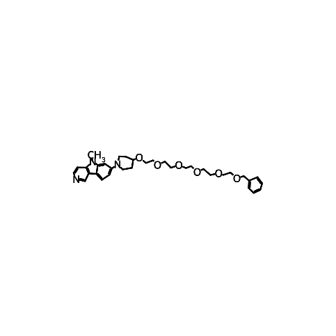 Cn1c2ccncc2c2ccc(N3CCC(OCCOCCOCCOCCOCCOCc4ccccc4)CC3)cc21